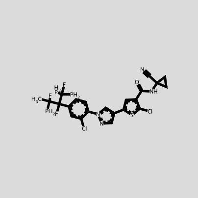 CC(F)(P)C(F)(c1ccc(-n2cc(-c3cc(C(=O)NC4(C#N)CC4)c(Cl)s3)cn2)c(Cl)c1)C(F)(P)P